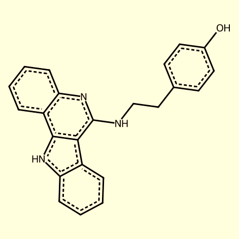 Oc1ccc(CCNc2nc3ccccc3c3[nH]c4ccccc4c23)cc1